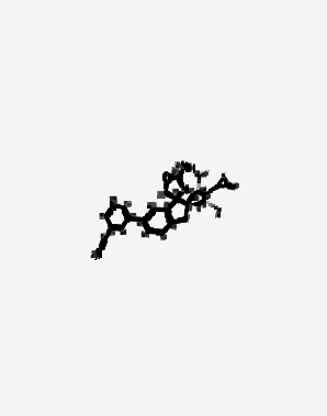 CO[C@H]1[C@H](C)C[C@@]2(Cc3ccc(-c4cncc(C#N)c4)cc3[C@@]23COC(N)=N3)C[C@@H]1C